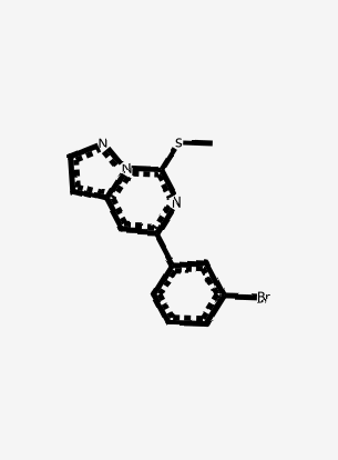 CSc1nc(-c2cccc(Br)c2)cc2ccnn12